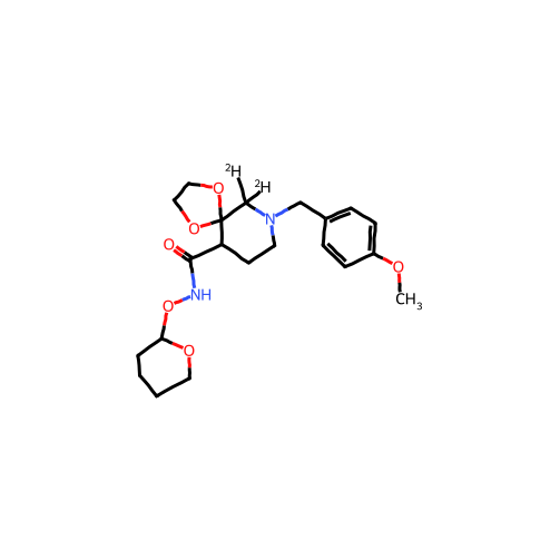 [2H]C1([2H])N(Cc2ccc(OC)cc2)CCC(C(=O)NOC2CCCCO2)C12OCCO2